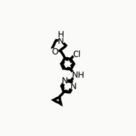 Clc1cc(Nc2ncc(C3CC3)cn2)ccc1C1CNCCO1